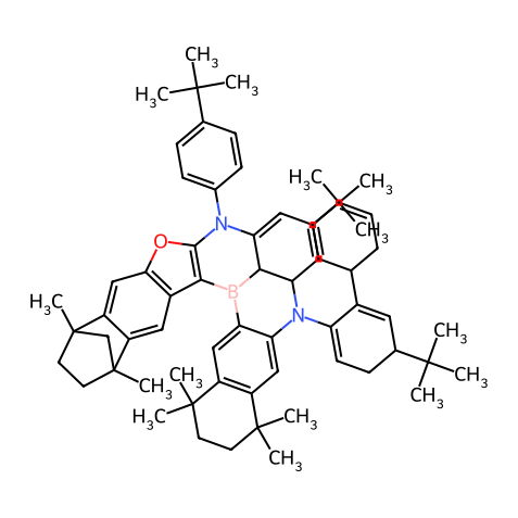 CC(C)(C)C1=CC2C3B(c4cc5c(cc4N2C2=CCC(C(C)(C)C)C=C2C2C=CC=CC2)C(C)(C)CCC5(C)C)c2c(oc4cc5c(cc24)C2(C)CCC5(C)C2)N(c2ccc(C(C)(C)C)cc2)C3=C1